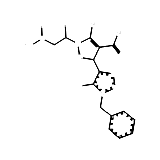 CCC(CN(C#N)CC)N1NC(c2nnn(Cc3ccccc3)c2C)C(C(N)=O)=C1N